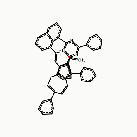 C=Cc1c(/C=C(\C)c2cccc3cccc(-c4nc(-c5ccccc5)nc(-c5ccccc5)n4)c23)c2c(n1-c1ccccc1)C=CC(c1ccccc1)=CC2